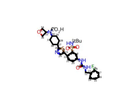 CC(C)(C)NS(=O)(=O)c1cc(NC(=O)NCc2ccccc2F)ccc1-c1cnc(C2CCC(N(C(=O)O)C3COC3)CC2)s1